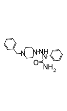 NC(=O)N(NN1CCN(Cc2ccccc2)CC1)c1ccccc1